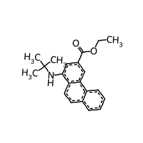 CCOC(=O)c1cc(NC(C)(C)C)c2ccc3ccccc3c2c1